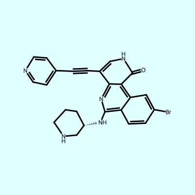 O=c1[nH]cc(C#Cc2ccncc2)c2nc(N[C@H]3CCCNC3)c3ccc(Br)cc3c12